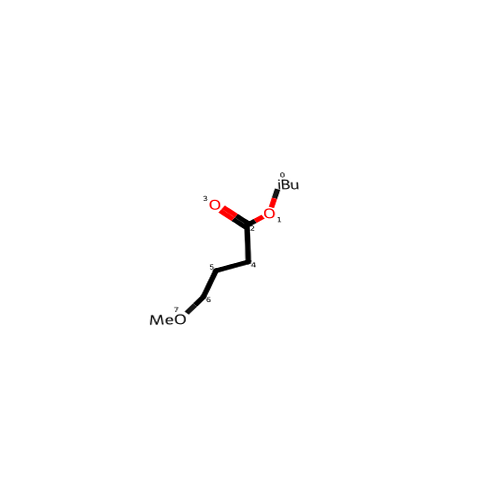 CCC(C)OC(=O)CCCOC